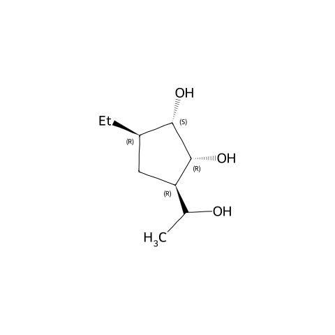 CC[C@@H]1C[C@H](C(C)O)[C@@H](O)[C@H]1O